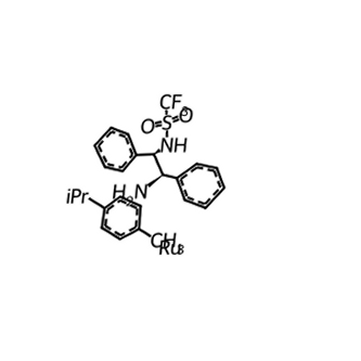 Cc1ccc(C(C)C)cc1.N[C@H](c1ccccc1)[C@H](NS(=O)(=O)C(F)(F)F)c1ccccc1.[Ru]